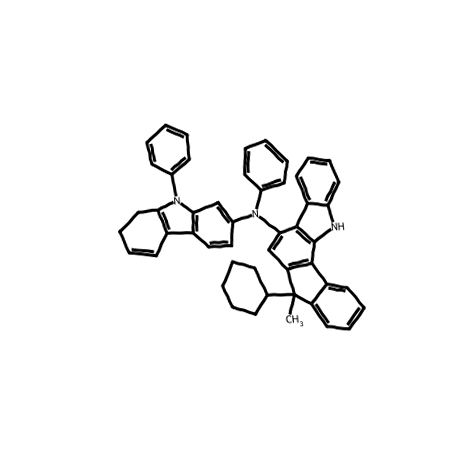 CC1(C2CCCCC2)c2ccccc2-c2c1cc(N(c1ccccc1)c1ccc3c4c(n(-c5ccccc5)c3c1)CCC=C4)c1c2[nH]c2ccccc21